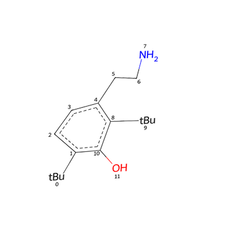 CC(C)(C)c1ccc(CCN)c(C(C)(C)C)c1O